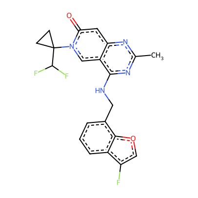 Cc1nc(NCc2cccc3c(F)coc23)c2cn(C3(C(F)F)CC3)c(=O)cc2n1